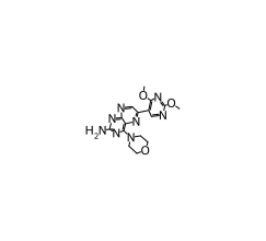 COc1ncc(-c2cnc3nc(N)nc(N4CCOCC4)c3n2)c(OC)n1